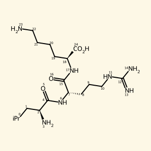 CC(C)C[C@H](N)C(=O)N[C@@H](CCCNC(=N)N)C(=O)N[C@@H](CCCCN)C(=O)O